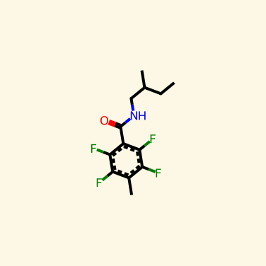 CCC(C)CNC(=O)c1c(F)c(F)c(C)c(F)c1F